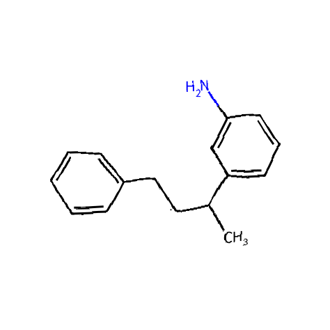 CC([CH]Cc1ccccc1)c1cccc(N)c1